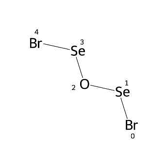 Br[Se]O[Se]Br